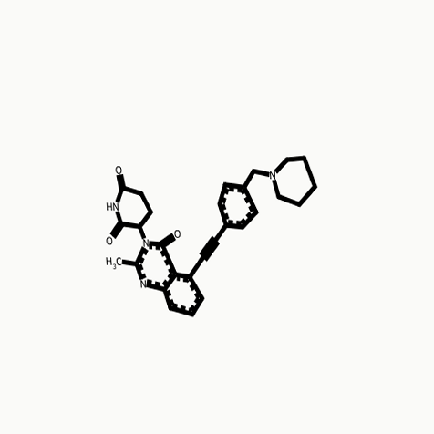 Cc1nc2cccc(C#Cc3ccc(CN4CCCCC4)cc3)c2c(=O)n1C1CCC(=O)NC1=O